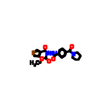 CCOC(=O)N(NC(=O)c1ccc(C(=O)N2CCCCC2)cc1)C(=O)c1ccsc1